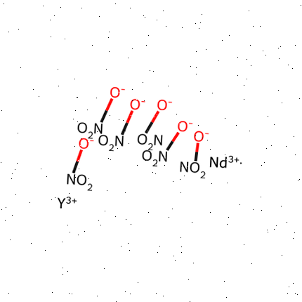 O=[N+]([O-])[O-].O=[N+]([O-])[O-].O=[N+]([O-])[O-].O=[N+]([O-])[O-].O=[N+]([O-])[O-].O=[N+]([O-])[O-].[Nd+3].[Y+3]